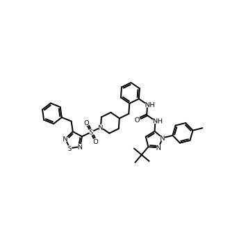 Cc1ccc(-n2nc(C(C)(C)C)cc2NC(=O)Nc2ccccc2CC2CCN(S(=O)(=O)c3nsnc3Cc3ccccc3)CC2)cc1